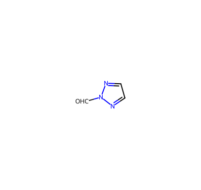 O=Cn1nccn1